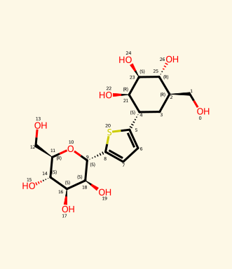 OC[C@H]1C[C@H](c2ccc([C@H]3O[C@H](CO)[C@@H](O)[C@H](O)[C@@H]3O)s2)[C@@H](O)[C@@H](O)[C@@H]1O